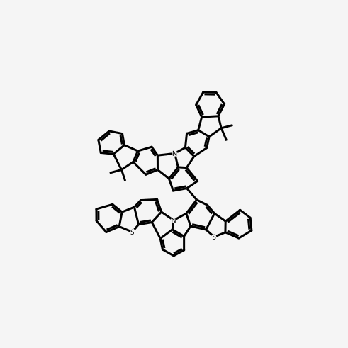 CC1(C)c2ccccc2-c2cc3c(cc21)c1cc(-c2cc4c5ccccc5sc4c4c5cccc6c7c8sc9ccccc9c8ccc7n(c24)c65)cc2c4cc5c(cc4n3c12)-c1ccccc1C5(C)C